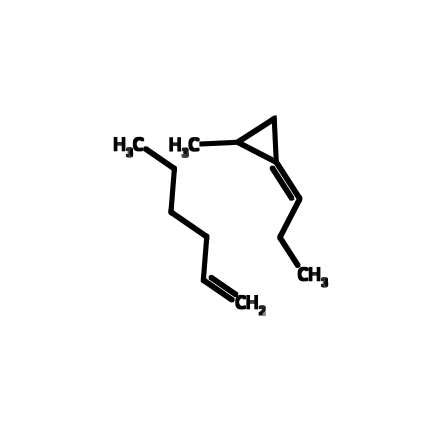 C=CCCCC.CCC=C1CC1C